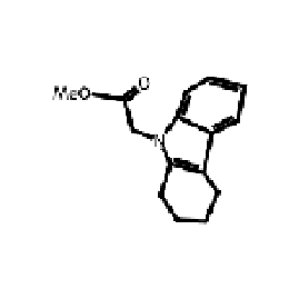 COC(=O)Cn1c2c(c3ccccc31)CCCC2